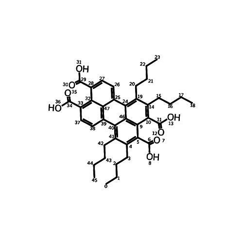 CCCCc1c(C(=O)O)c2c(C(=O)O)c(CCCC)c(CCCC)c3c4ccc(C(=O)O)c5c(C(=O)O)ccc(c(c1CCCC)c23)c54